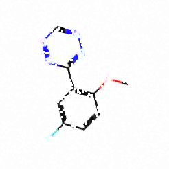 COc1ccc(F)cc1-c1nncnn1